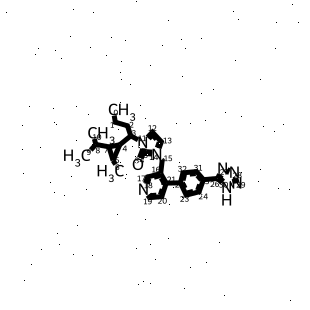 CCCC(C1C(C)C1C(C)C)n1ccn(Cc2cnccc2-c2ccc(-c3nnn[nH]3)cc2)c1=O